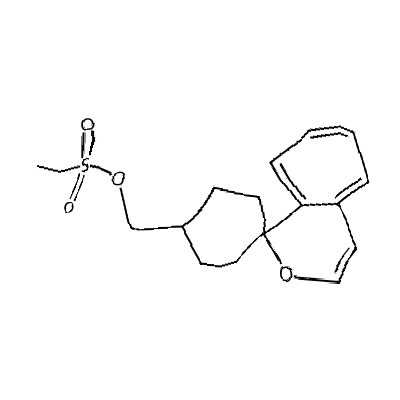 CS(=O)(=O)OCC1CCC2(CC1)OC=Cc1ccccc12